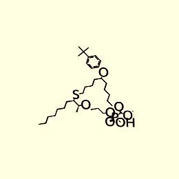 CCCCCCC[C@@H](SCCCCC(CCCCC)Oc1ccc(C(C)(C)C)cc1)[C@H](C)OCCCOP(=O)(O)C(=O)OC